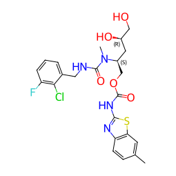 Cc1ccc2nc(NC(=O)OC[C@H](C[C@@H](O)CO)N(C)C(=O)NCc3cccc(F)c3Cl)sc2c1